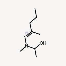 CCC/C(C)=N/N(C)C(C)O